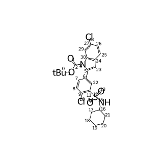 CC(C)(C)OC(=O)n1c(-c2ccc(Cl)c(S(=O)(=O)NC3CCCCC3)c2)cc2ccc(Cl)cc21